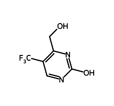 OCc1nc(O)ncc1C(F)(F)F